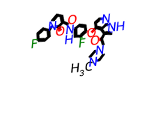 CN1CCN(CC(=O)c2c[nH]c3nccc(Oc4ccc(NC(=O)c5cccn(-c6ccc(F)cc6)c5=O)cc4F)c23)CC1